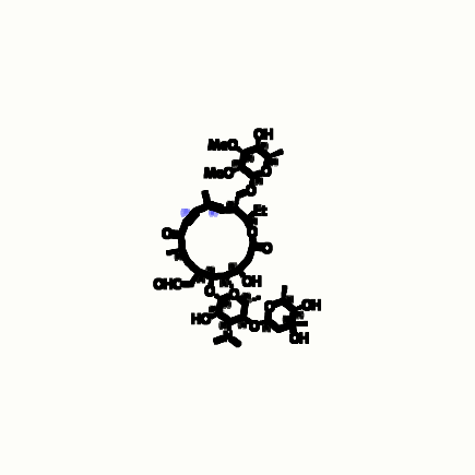 CC[C@H]1OC(=O)C[C@@H](O)[C@H](C)[C@@H](O[C@@H]2O[C@H](C)[C@@H](O[C@H]3C[C@@](C)(O)[C@@H](O)[C@H](C)O3)[C@H](N(C)C)[C@H]2O)[C@@H](CC=O)C[C@@H](C)C(=O)/C=C\C(C)=C\[C@@H]1CO[C@@H]1O[C@H](C)[C@@H](O)[C@@H](OC)[C@H]1OC